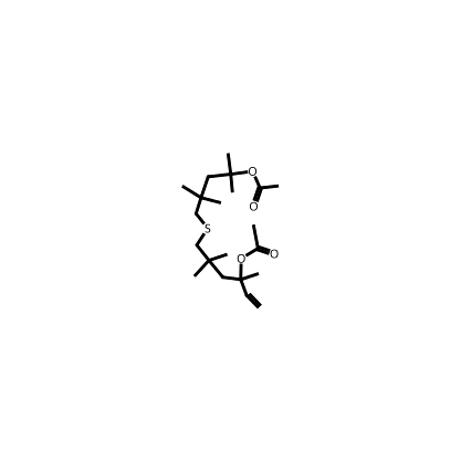 C=CC(C)(CC(C)(C)CSCC(C)(C)CC(C)(C)OC(C)=O)OC(C)=O